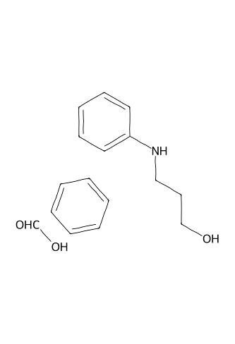 O=CO.OCCCNc1ccccc1.c1ccccc1